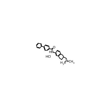 CN(C)CC1CCc2cc(NC(=O)c3ccc(-c4ccccc4)cc3)ccc2C1.Cl